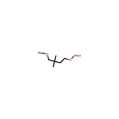 [CH2]C(C)(CCOCCCCC)COC(C)(C)C